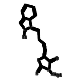 CCCCCCCN1C(=O)C(=C=CCC=S2C3C=CC=CC3=CN2CC)SC1=S